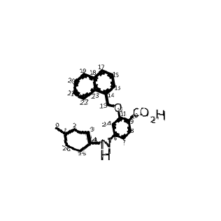 CC1CCC(Nc2ccc(C(=O)O)c(OCc3cccc4ccccc34)c2)CC1